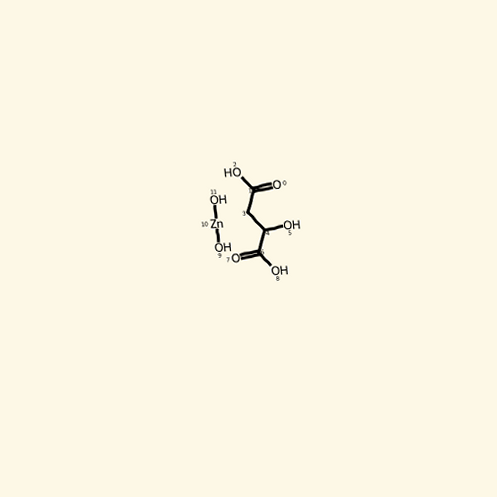 O=C(O)CC(O)C(=O)O.[OH][Zn][OH]